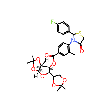 Cc1cc(C(=O)O[C@H]2C(C3COC(C)(C)O3)O[C@@H]3OC(C)(C)O[C@@H]32)ccc1N1C(=O)CSC1c1ccc(F)cc1